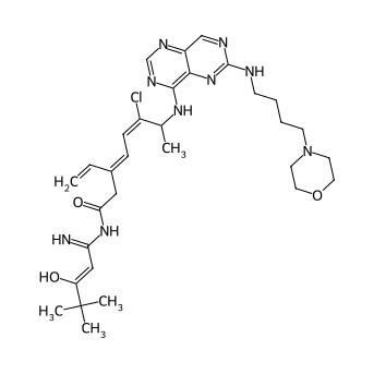 C=C/C(=C\C=C(\Cl)C(C)Nc1ncnc2cnc(NCCCCN3CCOCC3)nc12)CC(=O)NC(=N)/C=C(\O)C(C)(C)C